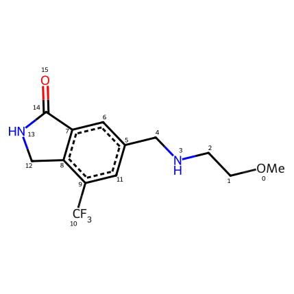 COCCNCc1cc2c(c(C(F)(F)F)c1)CNC2=O